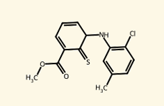 COC(=O)C1=CC=CC(Nc2cc(C)ccc2Cl)C1=S